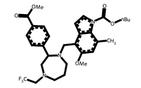 CCCCOC(=O)n1ccc2c(CN3CCCN(CC(F)(F)F)CC3c3ccc(C(=O)OC)cc3)c(OC)cc(C)c21